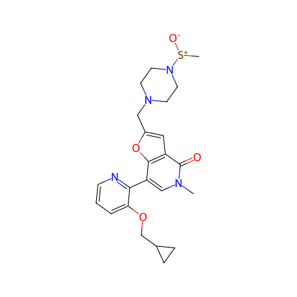 Cn1cc(-c2ncccc2OCC2CC2)c2oc(CN3CCN([S+](C)[O-])CC3)cc2c1=O